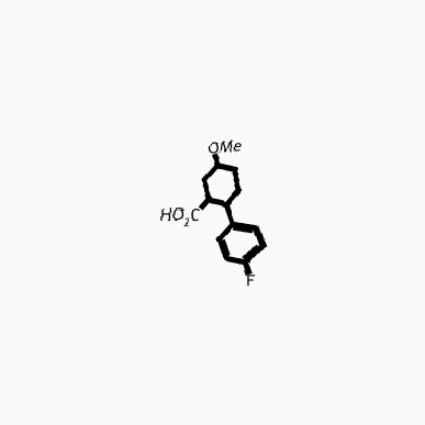 COC1CCC(c2ccc(F)cc2)C(C(=O)O)C1